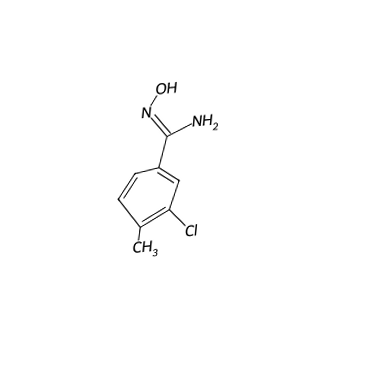 Cc1ccc(C(N)=NO)cc1Cl